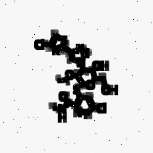 CCOC1C(n2cc(-c3nc(Cl)cs3)nn2)[C@@H](O)C(CO)O[C@@H]1Sc1cc(Cl)cnc1C(=O)NC